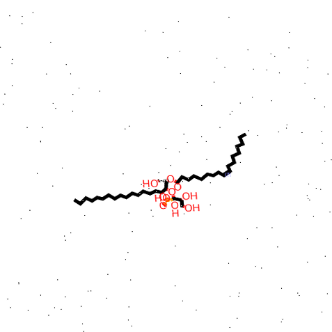 CCCCCCCC/C=C\CCCCCCCC(=O)O[C@@H](CO)C(OC(C(O)CO)P(=O)(O)O)C(=O)CCCCCCCCCCCCCCC